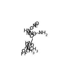 Cc1c(C(=O)NCC=Cc2cc(OCCCN)c3nc(Nc4ccc(N5CCOCC5)cc4)ncc3c2)c(=O)n(Cc2ccc(F)c(F)c2)n1C